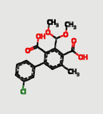 COC(OC)c1c(C(=O)O)c(C)cc(-c2cccc(Cl)c2)c1C(=O)O